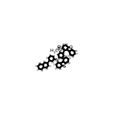 C[Si]1(C)c2cc(N(c3cccc(-c4ccc5ccccc5c4)c3)c3cccc4sc5ccccc5c34)ccc2-c2c1ccc1oc3ccccc3c21